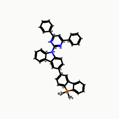 CS1(C)c2ccccc2-c2cc(-c3ccc4c(c3)c3ccccc3n4-c3nc(-c4ccccc4)cc(-c4ccccc4)n3)ccc21